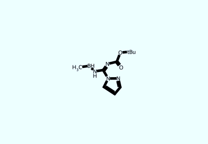 CBN/C(=N/C(=O)OC(C)(C)C)n1cccn1